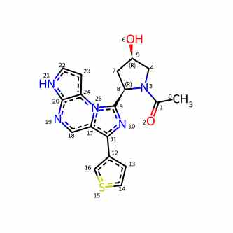 CC(=O)N1C[C@H](O)C[C@@H]1c1nc(-c2ccsc2)c2cnc3[nH]ccc3n12